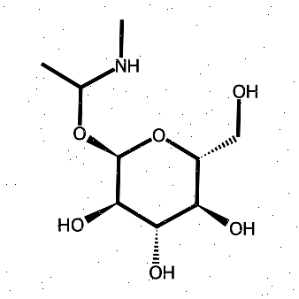 CNC(C)O[C@H]1O[C@H](CO)[C@@H](O)[C@H](O)[C@H]1O